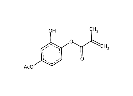 C=C(C)C(=O)Oc1ccc(OC(C)=O)cc1O